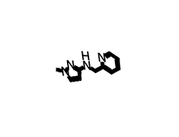 Cn1ccc(NCc2ccccn2)n1